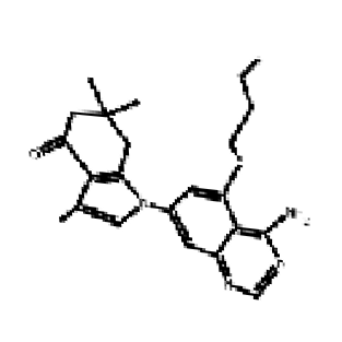 CCCCSc1cc(-n2cc(C)c3c2CC(C)(C)CC3=O)cc2ncnc(N)c12